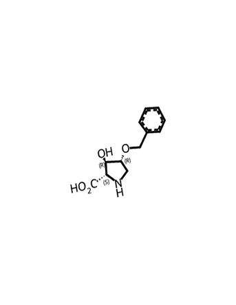 O=C(O)[C@H]1NC[C@@H](OCc2ccccc2)[C@@H]1O